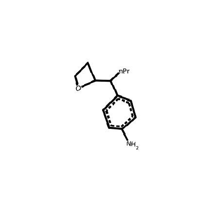 [CH2]CCC(c1ccc(N)cc1)C1CCO1